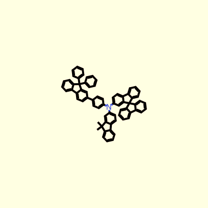 CC1(C)c2ccccc2-c2ccc(N(c3ccc(-c4ccc5c(c4)C(c4ccccc4)(c4ccccc4)c4ccccc4-5)cc3)c3ccc4c(c3)C3(c5ccccc5-c5ccccc53)c3ccccc3-4)cc21